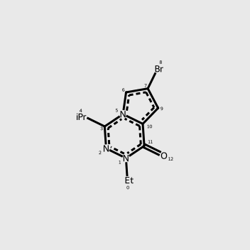 CCn1nc(C(C)C)n2cc(Br)cc2c1=O